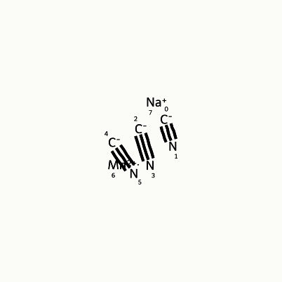 [C-]#N.[C-]#N.[C-]#N.[Mn+2].[Na+]